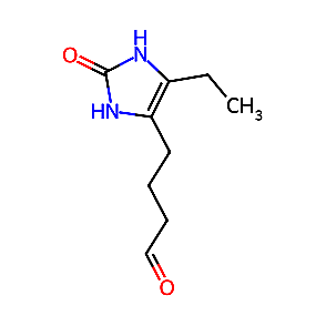 CCc1[nH]c(=O)[nH]c1CCCC=O